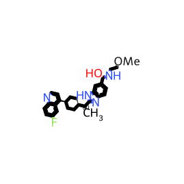 COCCNC(O)c1ccc2nc([C@H](C)[C@H]3CC[C@H](c4ccnc5ccc(F)cc54)CC3)[nH]c2c1